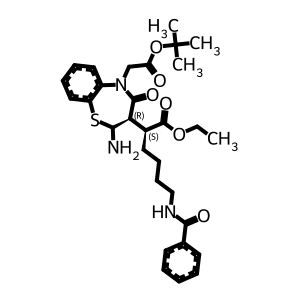 CCOC(=O)[C@@H](CCCCNC(=O)c1ccccc1)[C@@H]1C(=O)N(CC(=O)OC(C)(C)C)c2ccccc2SC1N